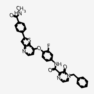 CNC(=O)c1ccc(-c2cc3nccc(Oc4ccc(NC(=O)c5nccn(Cc6ccccc6)c5=O)cc4F)c3s2)cc1